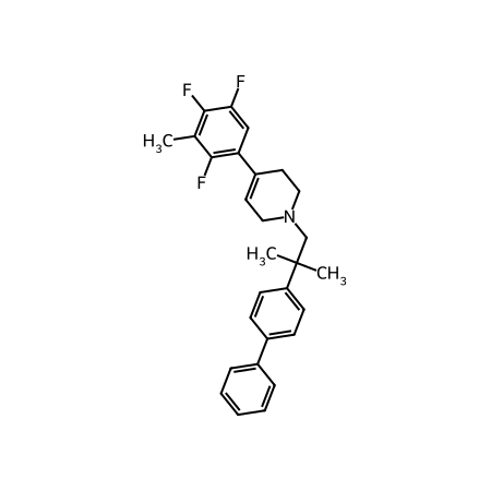 Cc1c(F)c(F)cc(C2=CCN(CC(C)(C)c3ccc(-c4ccccc4)cc3)CC2)c1F